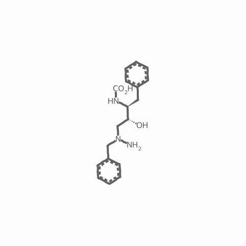 NN(Cc1ccccc1)C[C@@H](O)[C@H](Cc1ccccc1)NC(=O)O